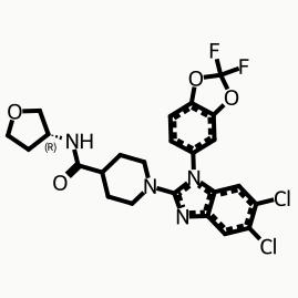 O=C(N[C@@H]1CCOC1)C1CCN(c2nc3cc(Cl)c(Cl)cc3n2-c2ccc3c(c2)OC(F)(F)O3)CC1